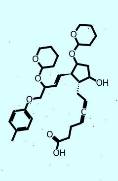 Cc1ccc(OCC(/C=C/[C@H]2C(OC3CCCCO3)CC(O)[C@@H]2CC=C=CCCC(=O)O)OC2CCCCO2)cc1